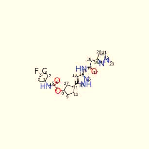 CC(CC(F)(F)F)NC(=O)O[C@@H]1CC[C@H](c2cc(NC(=O)Cc3ccn(C)n3)n[nH]2)C1